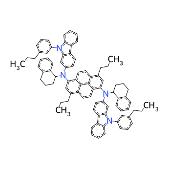 CCCc1cccc(-n2c3ccccc3c3ccc(N(c4cc(CCC)c5ccc6c(N(c7ccc8c9ccccc9n(-c9cccc(CCC)c9)c8c7)C7CCCc8ccccc87)cc(CCC)c7ccc4c5c76)C4CCCc5ccccc54)cc32)c1